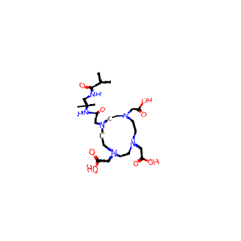 CC(C)C(=O)NCC(C)(C)NC(=O)CN1CCN(CC(=O)O)CCN(CC(=O)O)CCN(CC(=O)O)CC1